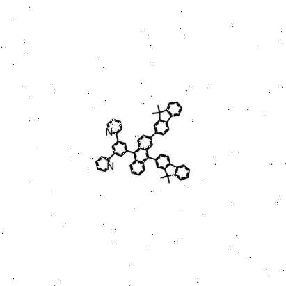 CC1(C)c2ccccc2-c2ccc(-c3ccc4c(-c5cc(-c6ccccn6)cc(-c6ccccn6)c5)c5ccccc5c(-c5ccc6c(c5)C(C)(C)c5ccccc5-6)c4c3)cc21